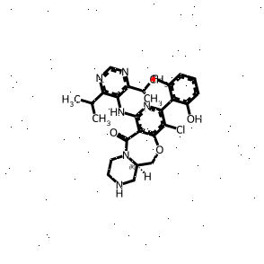 CC(C)c1ncnc(C(C)C)c1Nc1nc(-c2c(O)cccc2F)c(Cl)c2c1C(=O)N1CCNC[C@@H]1CO2